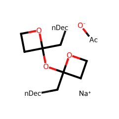 CC(=O)[O-].CCCCCCCCCCCC1(OC2(CCCCCCCCCCC)CCO2)CCO1.[Na+]